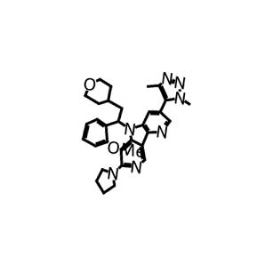 COc1ccccc1C(CC1CCOCC1)n1c2cc(N3CCCC3)ncc2c2ncc(-c3c(C)nnn3C)cc21